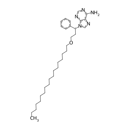 CCCCCCCCCCCCCCCCCCOCC[C](c1ccccc1)n1cnc2c(N)ncnc21